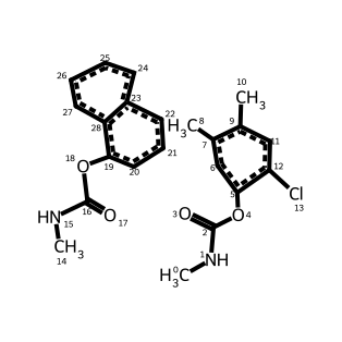 CNC(=O)Oc1cc(C)c(C)cc1Cl.CNC(=O)Oc1cccc2ccccc12